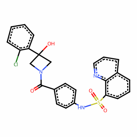 O=C(c1ccc(NS(=O)(=O)c2cccc3cccnc23)cc1)N1CC(O)(c2ccccc2Cl)C1